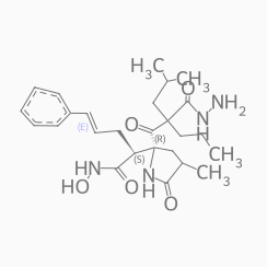 CCCC(CC(C)C)(C(=O)NN)C(=O)[C@]1([C@H](C/C=C/c2ccccc2)C(=O)NO)CC(C)C(=O)N1